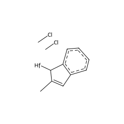 CC1=Cc2ccccc2[CH]1[Hf].CCl.CCl